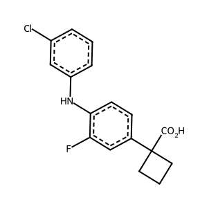 O=C(O)C1(c2ccc(Nc3cccc(Cl)c3)c(F)c2)CCC1